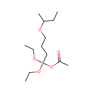 CCO[Si](CCCOC(C)CC)(OCC)OC(C)=O